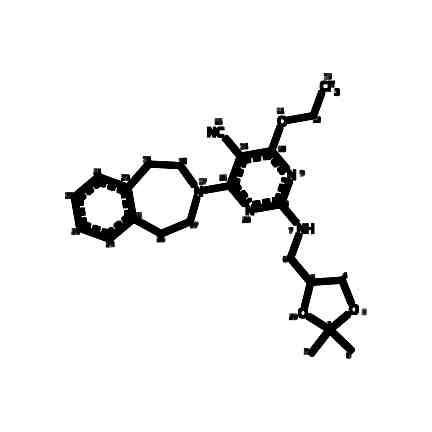 CC1(C)OCC(CNc2nc(OCC(F)(F)F)c(C#N)c(N3CCc4ccccc4CC3)n2)O1